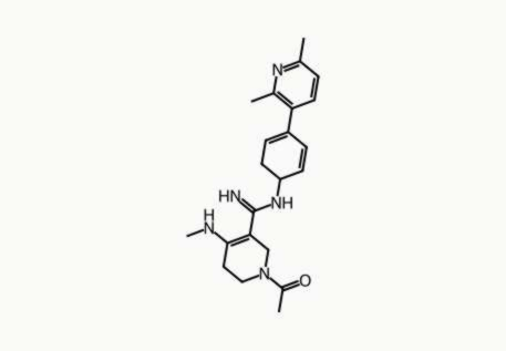 CNC1=C(C(=N)NC2C=CC(c3ccc(C)nc3C)=CC2)CN(C(C)=O)CC1